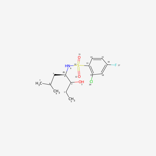 CCC(O)[C@@H](CC(C)C)NS(=O)(=O)c1ccc(F)cc1Cl